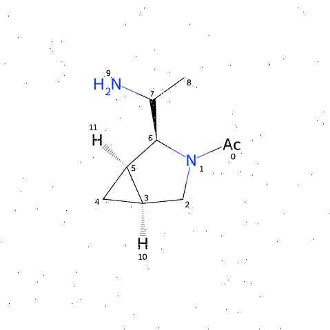 CC(=O)N1C[C@H]2C[C@H]2[C@H]1C(C)N